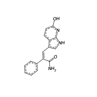 NC(=O)C(=Cc1c[nH]c2nc(O)ccc12)c1ccccc1